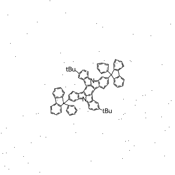 CC(C)(C)c1ccc2c(c1)c1c3c4ccc(C5(c6ccccc6)c6ccccc6-c6ccccc65)cc4n4c5ccc(C(C)(C)C)cc5c(c5c6ccc(C7(c8ccccc8)c8ccccc8-c8ccccc87)cc6n2c15)c34